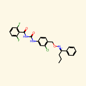 CCC/C(=N\OCc1ccc(NC(=O)NC(=O)c2c(F)cccc2F)cc1Cl)c1ccccc1